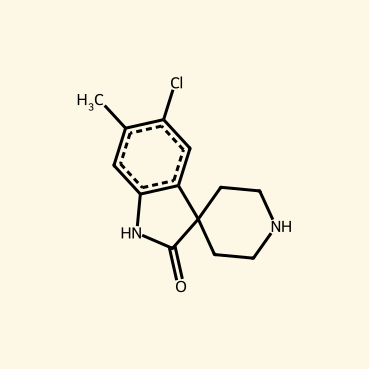 Cc1cc2c(cc1Cl)C1(CCNCC1)C(=O)N2